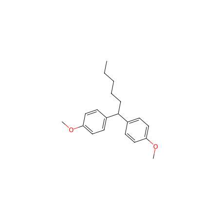 CCCCCC(c1ccc(OC)cc1)c1ccc(OC)cc1